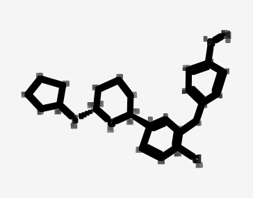 CCOc1ccc(Cc2cc([C@@H]3CCC[C@@H](SC4CCCC4)O3)ccc2Cl)cc1